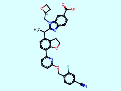 CC(c1ccc(-c2cccc(OCc3ccc(C#N)cc3F)n2)c2c1CCO2)c1nc2ccc(C(=O)O)cc2n1C[C@@H]1CCO1